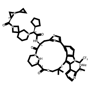 CO[C@@H](C)c1ncccc1-c1c2c3cc(ccc3n1CC(F)(F)F)-c1csc(n1)C[C@H](NC(=O)[C@H](C1CCCC1)N1CCCC3(CN(C(=O)[C@H]4CN4C4CC4)C3)C1)C(=O)N1CCC[C@H](N1)C(=O)OCC(C)(C)C2